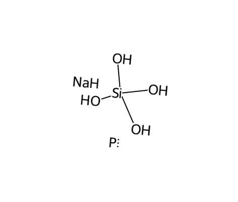 O[Si](O)(O)O.[NaH].[P]